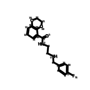 O=C(NCCNCc1ccc(F)cc1)c1cccc2c1OCCO2